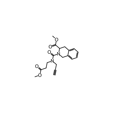 C#CCN(CCC(=O)OC)C(=O)N1Cc2ccccc2CC1C(=O)OC